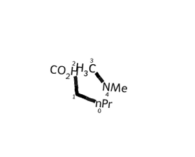 CCCCC(=O)O.CNC